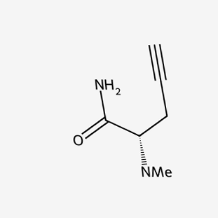 C#CC[C@H](NC)C(N)=O